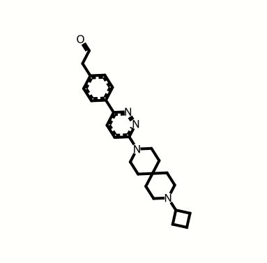 O=CCc1ccc(-c2ccc(N3CCC4(CC3)CCN(C3CCC3)CC4)nn2)cc1